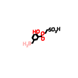 BCc1ccc(O)c(C(=O)OCCS(=O)(=O)O)c1